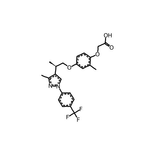 Cc1cc(OC[C@H](C)c2cn(-c3ccc(C(F)(F)F)cc3)nc2C)ccc1OCC(=O)O